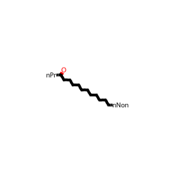 CCCCCCCCCCCCCCCCCCCCC(=O)CCC